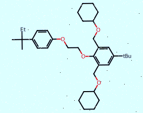 CCC(C)(C)c1ccc(OCCOc2c(COC3CCCCC3)cc(C(C)(C)C)cc2COC2CCCCC2)cc1